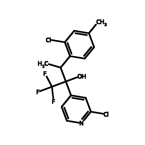 Cc1ccc(C(C)C(O)(c2ccnc(Cl)c2)C(F)(F)F)c(Cl)c1